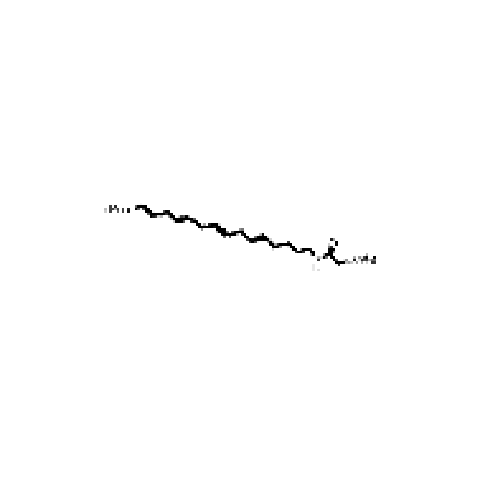 CCCCCC=CCC=CCC=CCC=CCCCCNC(=O)COC